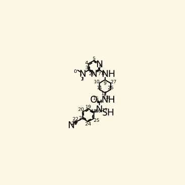 CN(C)c1ccnc(NC2CCC(NC(=O)N(S)c3ccc(C#N)cc3)CC2)n1